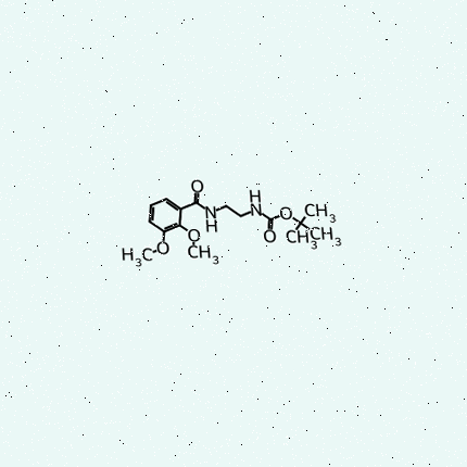 COc1cccc(C(=O)NCCNC(=O)OC(C)(C)C)c1OC